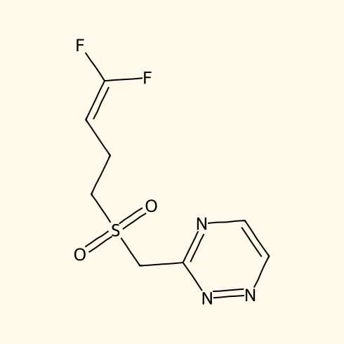 O=S(=O)(CCC=C(F)F)Cc1nccnn1